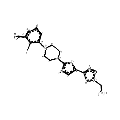 O=C(O)Cn1nnc(-c2cnc(N3CCN(c4cccc(Cl)c4F)CC3)s2)n1